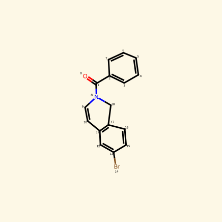 O=C(c1ccccc1)N1C=Cc2cc(Br)ccc2C1